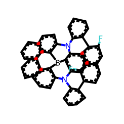 Fc1ccccc1-c1ccccc1N1c2cccc(-c3ccccc3)c2B2c3c(-c4ccccc4)cccc3N(c3ccccc3-c3ccccc3F)c3cccc1c32